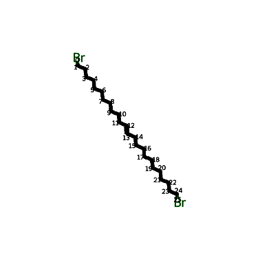 BrCCCCCCCCCCCC=CCCCCCCCCCCCBr